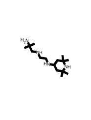 CC(C)(N)CNCCNC1CC(C)(C)NC(C)(C)C1